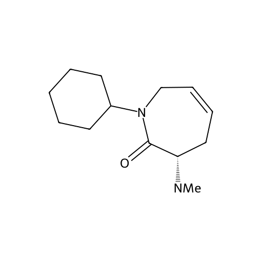 CN[C@H]1CC=CCN(C2CCCCC2)C1=O